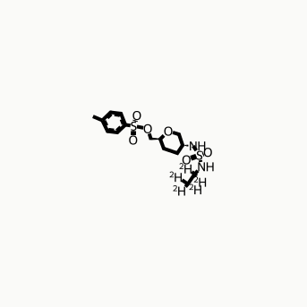 [2H]C([2H])([2H])C([2H])([2H])NS(=O)(=O)N[C@@H]1CC[C@@H](COS(=O)(=O)c2ccc(C)cc2)OC1